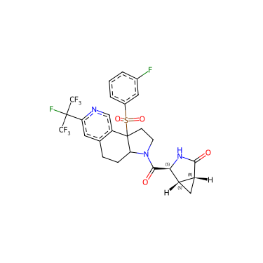 O=C1N[C@H](C(=O)N2CCC3(S(=O)(=O)c4cccc(F)c4)c4cnc(C(F)(C(F)(F)F)C(F)(F)F)cc4CCC23)[C@H]2C[C@@H]12